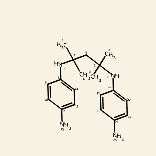 CC(C)(CC(C)(C)Nc1ccc(N)cc1)Nc1ccc(N)cc1